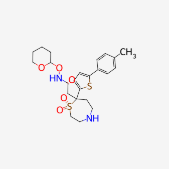 Cc1ccc(-c2ccc(C3(CC(=O)NOC4CCCCO4)CCNCCS3(=O)=O)s2)cc1